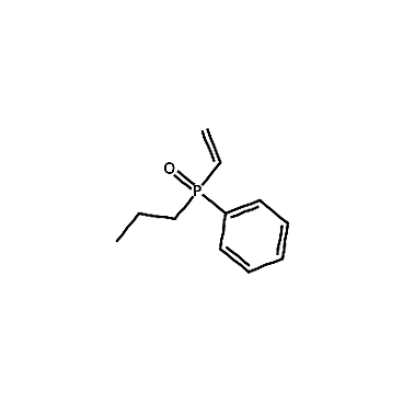 C=CP(=O)(CCC)c1ccccc1